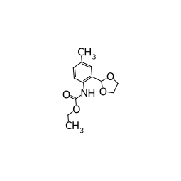 CCOC(=O)Nc1ccc(C)cc1C1OCCO1